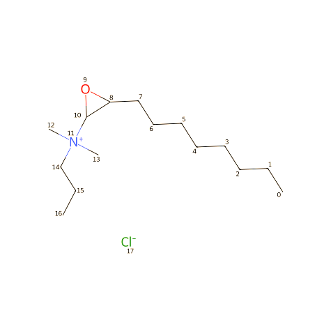 CCCCCCCCC1OC1[N+](C)(C)CCC.[Cl-]